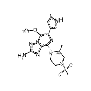 CCCOc1c(-c2cn[nH]c2)nc([C@H]2CCN(S(C)(=O)=O)C[C@@H]2C)c2nc(N)nn12